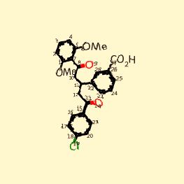 COc1cccc(OC)c1C(=O)CC(CC(=O)c1ccc(Cl)cc1)c1cccc(C(=O)O)c1